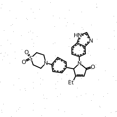 CCC1=CC(=O)N(c2ccc3[nH]cnc3c2)C1c1ccc(N2CCS(=O)(=O)CC2)cc1